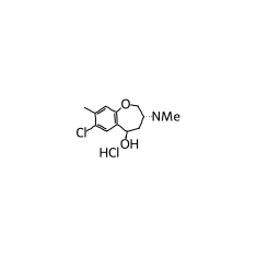 CN[C@H]1COc2cc(C)c(Cl)cc2[C@H](O)C1.Cl